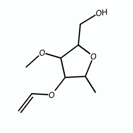 C=COC1C(C)OC(CO)C1OC